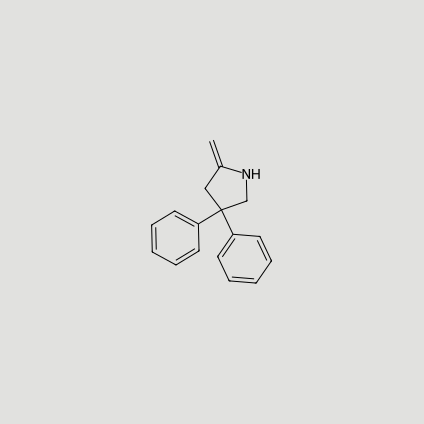 C=C1CC(c2ccccc2)(c2ccccc2)CN1